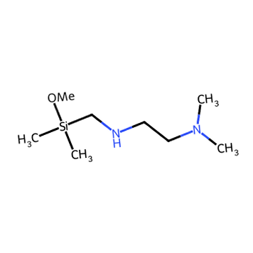 CO[Si](C)(C)CNCCN(C)C